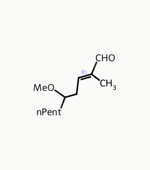 CCCCCC(C/C=C(\C)C=O)OC